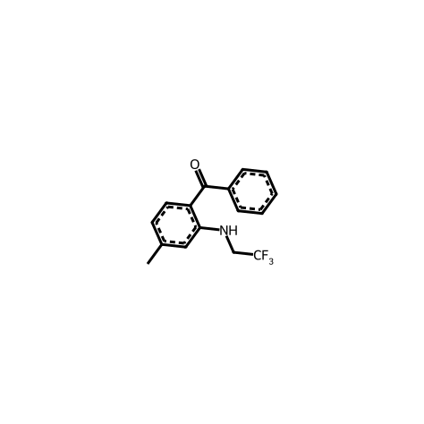 Cc1ccc(C(=O)c2ccccc2)c(NCC(F)(F)F)c1